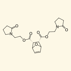 O=C(OCCN1CCCC1=O)[C@@H]1C2C=CC(O2)[C@@H]1C(=O)OCCN1CCCC1=O